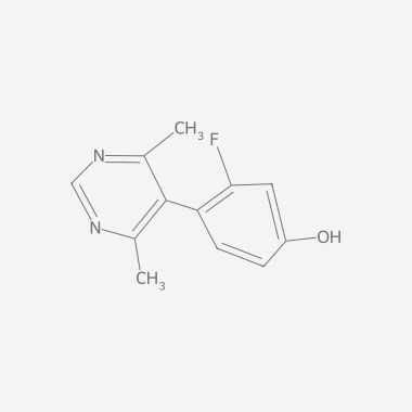 Cc1ncnc(C)c1-c1ccc(O)cc1F